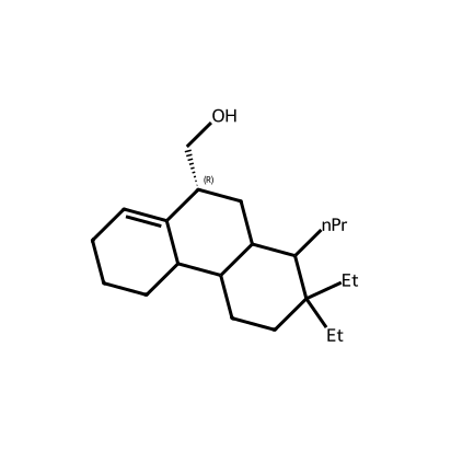 CCCC1C2C[C@@H](CO)C3=CCCCC3C2CCC1(CC)CC